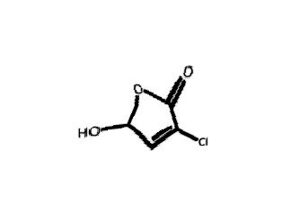 O=C1OC(O)C=C1Cl